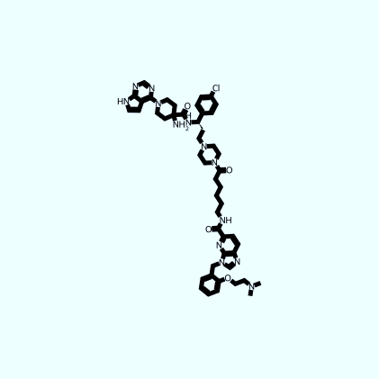 CN(C)CCOc1ccccc1Cn1cnc2ccc(C(=O)NCCCCCC(=O)N3CCN(CC[C@H](NC(=O)C4(N)CCN(c5ncnc6[nH]ccc56)CC4)c4ccc(Cl)cc4)CC3)nc21